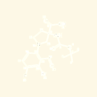 CC(C)(C)OC(=O)NC1(C(=O)O)CCN(c2ccc(F)c(Br)c2C=O)C1